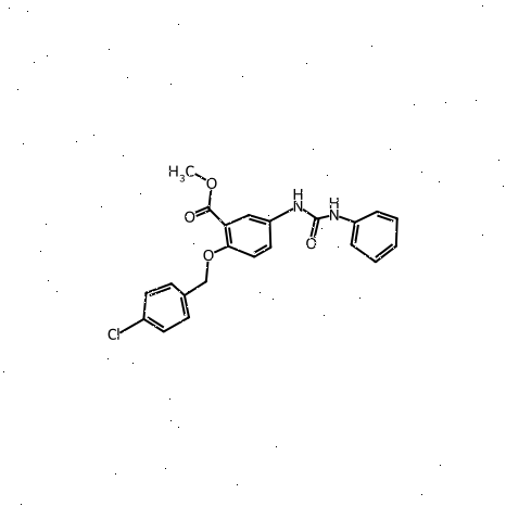 COC(=O)c1cc(NC(=O)Nc2ccccc2)ccc1OCc1ccc(Cl)cc1